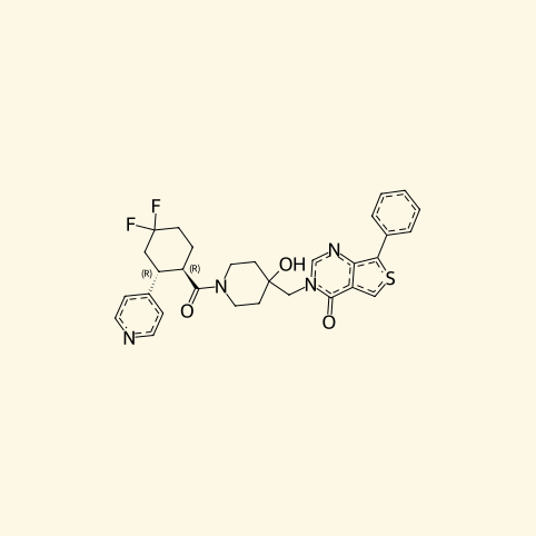 O=C([C@@H]1CCC(F)(F)C[C@H]1c1ccncc1)N1CCC(O)(Cn2cnc3c(-c4ccccc4)scc3c2=O)CC1